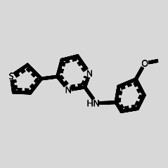 COc1cccc(Nc2nccc(-c3ccsc3)n2)c1